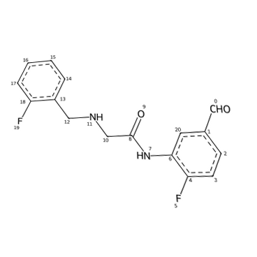 O=Cc1ccc(F)c(NC(=O)CNCc2ccccc2F)c1